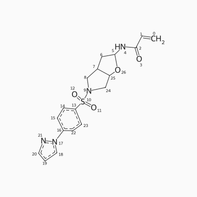 C=CC(=O)NC1CC2CN(S(=O)(=O)c3ccc(-n4cccn4)cc3)CC2O1